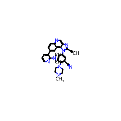 C#Cc1nc2cnc3ccc(-c4cccnc4N(C)C)cc3c2n1-c1ccc(N2CCN(C)CC2)c(C#N)c1